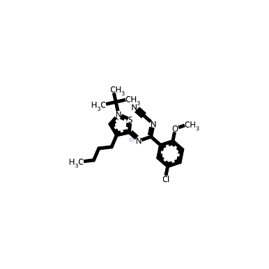 CCCCc1cn(C(C)(C)C)s/c1=N\C(=NC#N)c1cc(Cl)ccc1OC